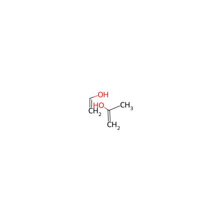 C=C(C)O.C=CO